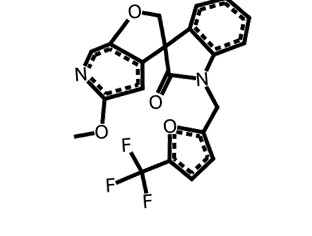 COc1cc2c(cn1)OCC21C(=O)N(Cc2ccc(C(F)(F)F)o2)c2ccccc21